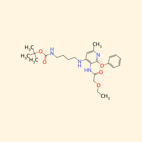 CCOCC(=O)Nc1c(NCCCCNC(=O)OC(C)(C)C)cc(C)nc1Oc1ccccc1